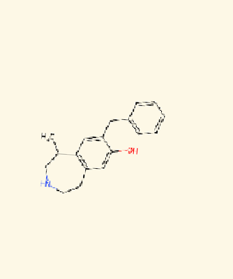 CC1CNCCc2cc(O)c(Cc3ccccc3)cc21